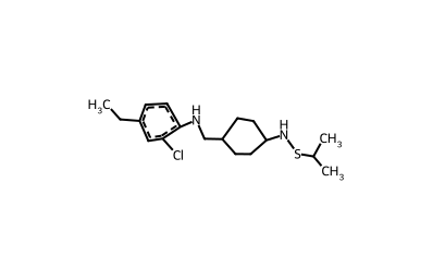 CCc1ccc(NCC2CCC(NSC(C)C)CC2)c(Cl)c1